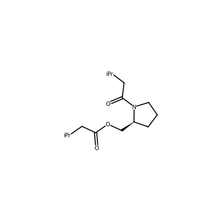 CC(C)CC(=O)OC[C@@H]1CCCN1C(=O)CC(C)C